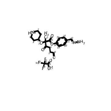 CC(OC1CCNCC1)(C(=O)CCC=O)C(=O)Oc1ccc(C=NN)cc1.O=C(O)C(F)(F)F